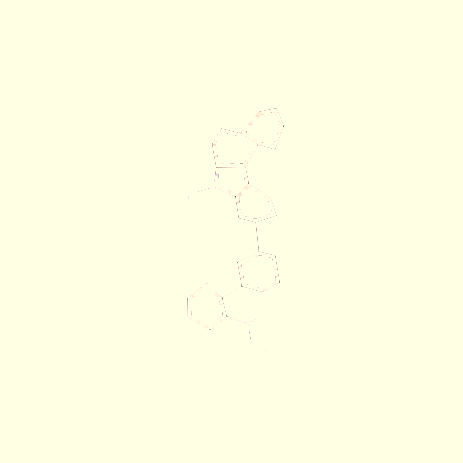 CN(C)c1ccccc1-c1cccc(-c2ccc3c4c5ccccc5ccc4n(C)c3c2)c1